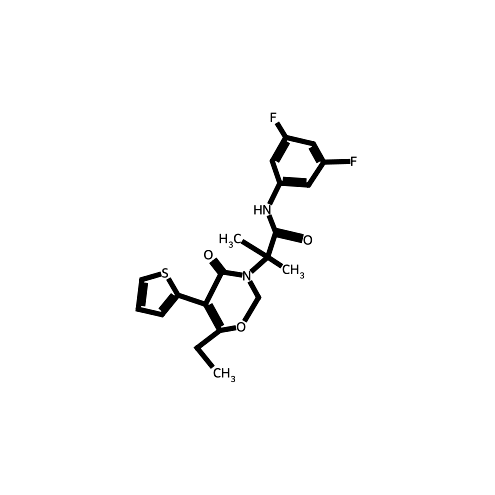 CCC1=C(c2cccs2)C(=O)N(C(C)(C)C(=O)Nc2cc(F)cc(F)c2)CO1